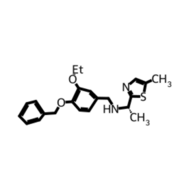 CCOc1cc(CN[C@@H](C)c2ncc(C)s2)ccc1OCc1ccccc1